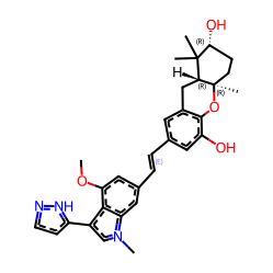 COc1cc(/C=C/c2cc(O)c3c(c2)C[C@@H]2C(C)(C)[C@H](O)CC[C@@]2(C)O3)cc2c1c(-c1ccn[nH]1)cn2C